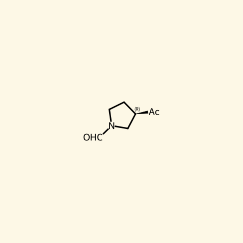 CC(=O)[C@@H]1CCN(C=O)C1